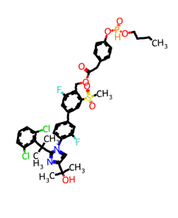 CCCCO[PH](=O)Oc1ccc(CC(=O)OCc2c(F)cc(-c3ccc(-n4cc(C(C)(C)O)nc4C(C)(C)c4c(Cl)cccc4Cl)c(F)c3)cc2S(C)(=O)=O)cc1